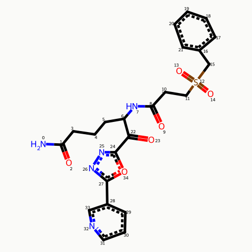 NC(=O)CCCC(NC(=O)[CH]CS(=O)(=O)Cc1ccccc1)C(=O)c1nnc(-c2cccnc2)o1